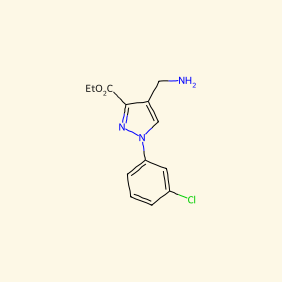 CCOC(=O)c1nn(-c2cccc(Cl)c2)cc1CN